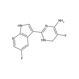 NC1=C(F)CNC(c2c[nH]c3ncc(F)cc23)=N1